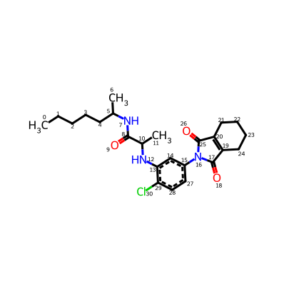 CCCCCC(C)NC(=O)C(C)Nc1cc(N2C(=O)C3=C(CCCC3)C2=O)ccc1Cl